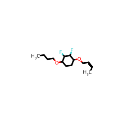 C/C=C\COC1CCC(OCCCC)C(F)C1F